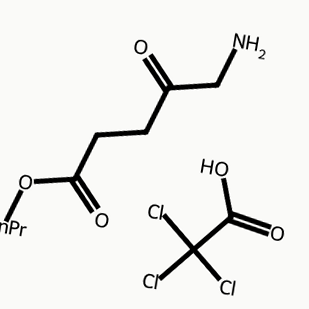 CCCOC(=O)CCC(=O)CN.O=C(O)C(Cl)(Cl)Cl